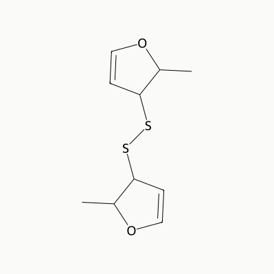 CC1OC=CC1SSC1C=COC1C